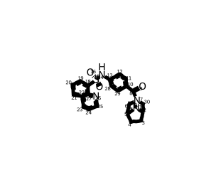 CCN1C2CCC1CN(C(=O)c1ccc(NS(=O)(=O)c3cccc4cccnc34)cc1)C2